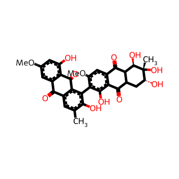 COc1cc(O)c2c(c1)C(=O)c1cc(C)c(O)c(-c3c(OC)cc4c(c3O)C(=O)C3C[C@@H](O)[C@@](C)(O)[C@H](O)C3C4=O)c1C2=O